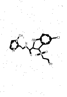 CC(C)CCS(=O)(=O)C1c2cc(Cl)ccc2NC1C(=O)NCc1nccn1C